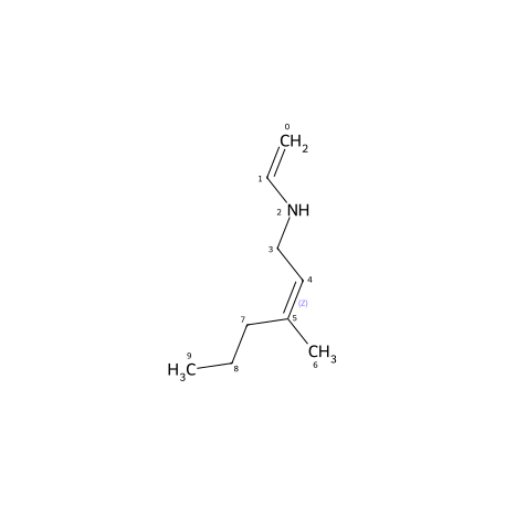 C=CNC/C=C(/C)CCC